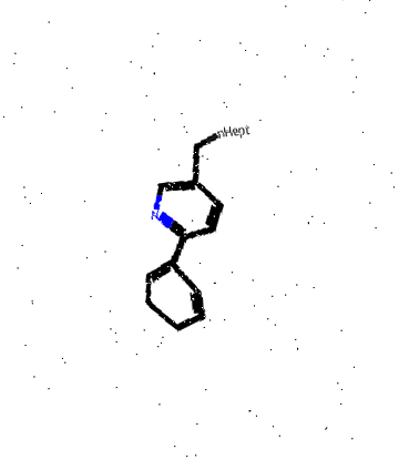 CCCCCCCCc1ccc(C2=CCCC=C2)nc1